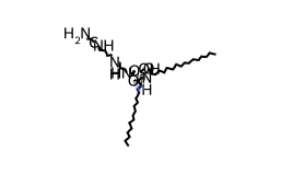 CCCCCCCCCCCCC/C=C/[C@@H](OC(=O)NCCCNCCCCNCCCN)[C@H](CO)NC(=O)CCCCCCCCCCCCCCC